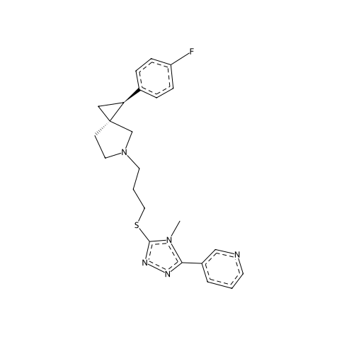 Cn1c(SCCCN2CC[C@@]3(C[C@H]3c3ccc(F)cc3)C2)nnc1-c1cccnc1